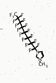 CN1C=CN(C(F)(F)C(F)(F)C(F)(F)C(F)(F)C(F)(F)C(F)(F)C(F)(F)C(F)(F)F)C1